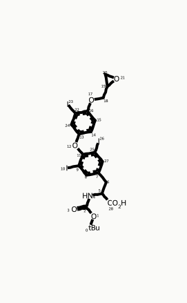 CC(C)(C)OC(=O)NC(Cc1cc(I)c(Oc2ccc(OCC3CO3)c(I)c2)c(I)c1)C(=O)O